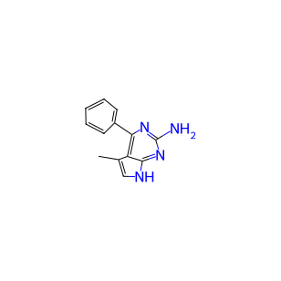 Cc1c[nH]c2nc(N)nc(-c3ccccc3)c12